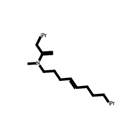 C=C(CC(C)C)N(C)CCC/C=C/CCCC(C)C